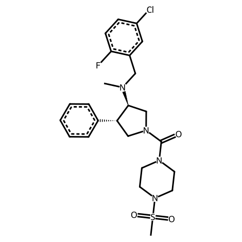 CN(Cc1cc(Cl)ccc1F)[C@H]1CN(C(=O)N2CCN(S(C)(=O)=O)CC2)C[C@@H]1c1ccccc1